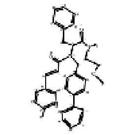 COCCN(C)C(=O)[C@H](Cc1ccccc1)N(Cc1ccc(-c2ccccn2)cc1)C(=O)/C=C/c1ccc(C)nc1